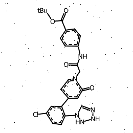 CC(C)(C)OC(=O)c1ccc(NC(=O)Cn2ccc(-c3cc(Cl)ccc3N3C=NNN3)cc2=O)cc1